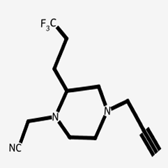 C#CCN1CCN(CC#N)C(CCC(F)(F)F)C1